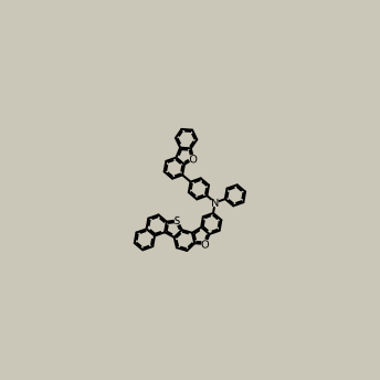 c1ccc(N(c2ccc(-c3cccc4c3oc3ccccc34)cc2)c2ccc3oc4ccc5c(sc6ccc7ccccc7c65)c4c3c2)cc1